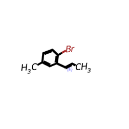 C/C=C/c1cc(C)ccc1Br